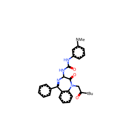 CNc1cccc(NC(=O)NC2N=C(c3ccccc3)c3ccccc3N(CC(=O)C(C)(C)C)C2=O)c1